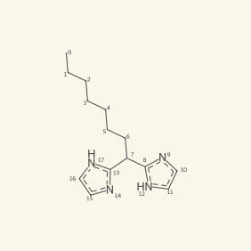 CCCCCCCC(c1ncc[nH]1)c1ncc[nH]1